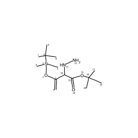 C=C(O[Si](C)(C)C(C)(C)C)C(NN)C(=O)OC(C)(C)C